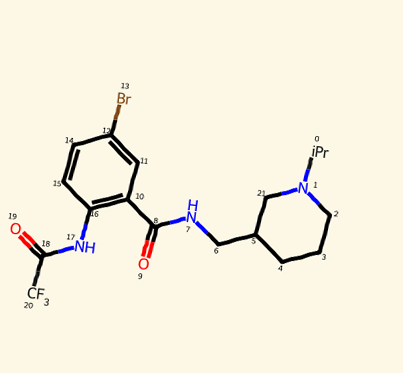 CC(C)N1CCCC(CNC(=O)c2cc(Br)ccc2NC(=O)C(F)(F)F)C1